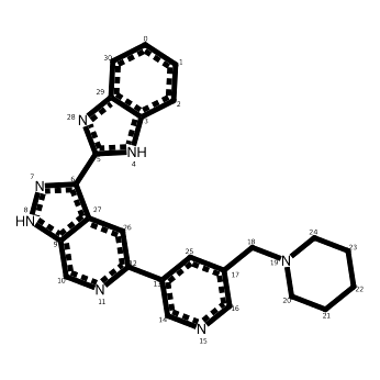 c1ccc2[nH]c(-c3n[nH]c4cnc(-c5cncc(CN6CCCCC6)c5)cc34)nc2c1